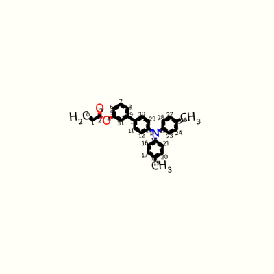 C=CC(=O)Oc1cccc(-c2ccc(N(c3ccc(C)cc3)c3ccc(C)cc3)cc2)c1